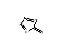 S=C1N=NN=[N+]1